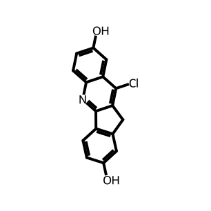 Oc1ccc2c(c1)Cc1c-2nc2ccc(O)cc2c1Cl